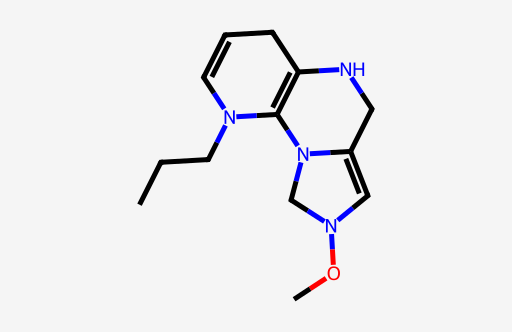 CCCN1C=CCC2=C1N1CN(OC)C=C1CN2